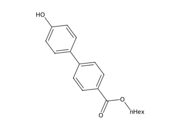 CCCCCCOC(=O)c1ccc(-c2ccc(O)cc2)cc1